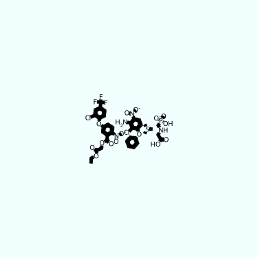 CCOC(=O)COC(=O)c1cc(Oc2ccc(C(F)(F)F)cc2Cl)ccc1[N+](=O)[O-].C[S+](C)C.Nc1c([N+](=O)[O-])ccc(Oc2ccccc2)c1Cl.O=C(O)CNCP(=O)([O-])O